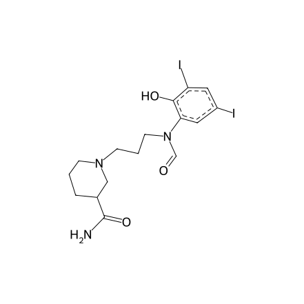 NC(=O)C1CCCN(CCCN(C=O)c2cc(I)cc(I)c2O)C1